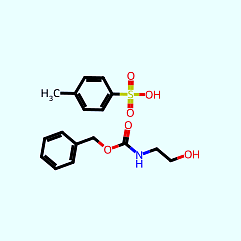 Cc1ccc(S(=O)(=O)O)cc1.O=C(NCCO)OCc1ccccc1